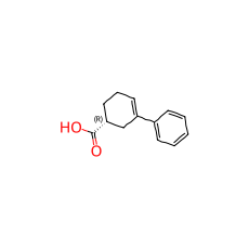 O=C(O)[C@@H]1CCC=C(c2ccccc2)C1